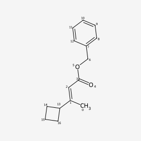 C/C(=C\C(=O)OCc1ccccc1)C1CCC1